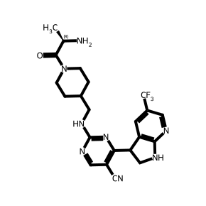 C[C@@H](N)C(=O)N1CCC(CNc2ncc(C#N)c(C3CNc4ncc(C(F)(F)F)cc43)n2)CC1